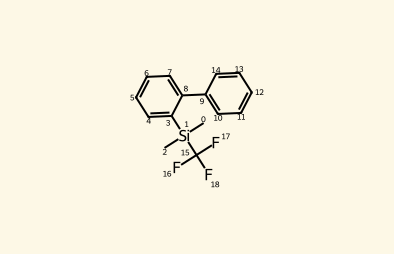 C[Si](C)(c1ccccc1-c1ccccc1)C(F)(F)F